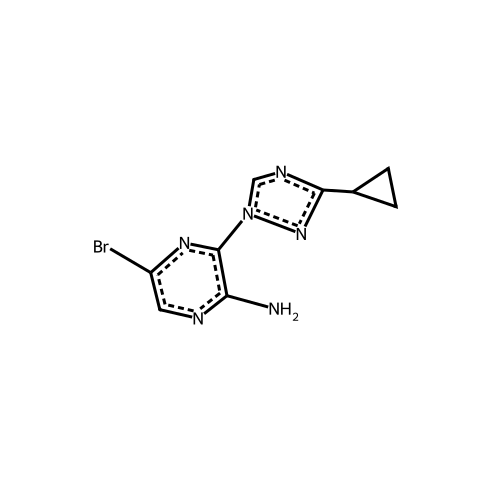 Nc1ncc(Br)nc1-n1cnc(C2CC2)n1